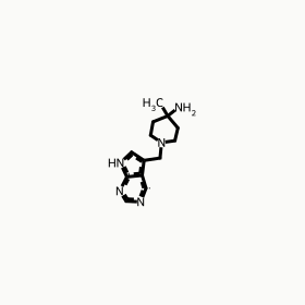 CC1(N)CCN(Cc2c[nH]c3ncn[c]c23)CC1